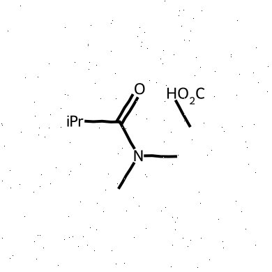 CC(=O)O.CC(C)C(=O)N(C)C